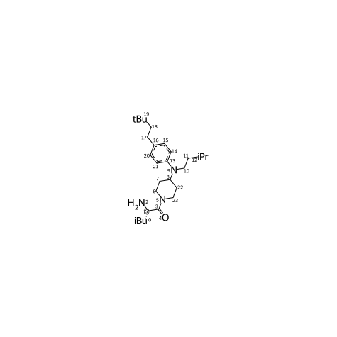 CCC(C)[C@H](N)C(=O)N1CCC(N(CCC(C)C)c2ccc(CCC(C)(C)C)cc2)CC1